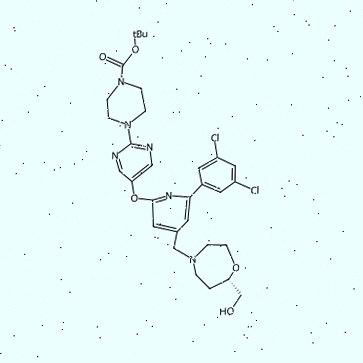 CC(C)(C)OC(=O)N1CCN(c2ncc(Oc3cc(CN4CCO[C@H](CO)CC4)cc(-c4cc(Cl)cc(Cl)c4)n3)cn2)CC1